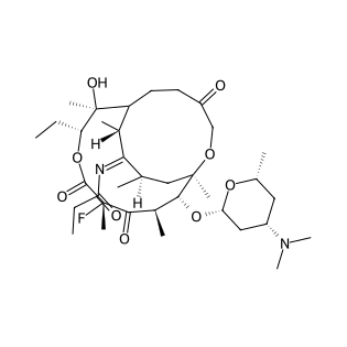 CCC(=O)/N=C1\[C@H](C)C[C@@]2(C)OCC(=O)CCC([C@H]1C)[C@](C)(O)[C@@H](CC)OC(=O)[C@@](C)(F)C(=O)[C@H](C)[C@H]2O[C@H]1C[C@@H](N(C)C)C[C@@H](C)O1